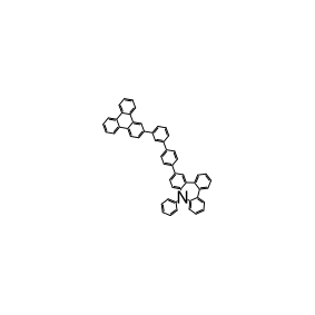 c1ccc(N2c3ccccc3-c3ccccc3-c3cc(-c4ccc(-c5cccc(-c6ccc7c8ccccc8c8ccccc8c7c6)c5)cc4)ccc32)cc1